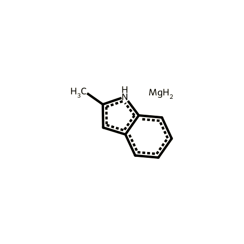 Cc1cc2ccccc2[nH]1.[MgH2]